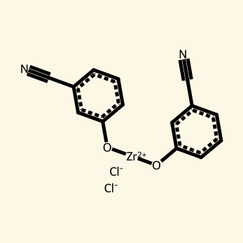 N#Cc1cccc([O][Zr+2][O]c2cccc(C#N)c2)c1.[Cl-].[Cl-]